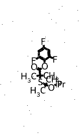 CC(C)OC(C)(C)SC(C)(C)C(=O)Oc1c(F)cc(F)cc1F